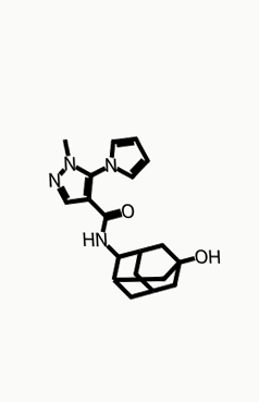 Cn1ncc(C(=O)NC2C3CC4CC2CC(O)(C4)C3)c1-n1cccc1